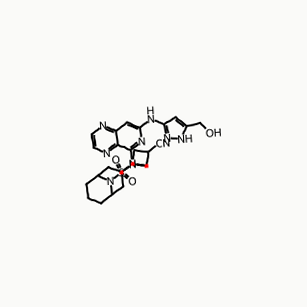 CN(c1nc(Nc2cc(CO)[nH]n2)cc2nccnc12)C1CC2CCCC(C1)N2S(=O)(=O)N1CC(C#N)C1